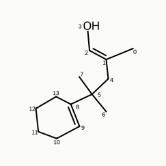 CC(=CO)CC(C)(C)C1=CCCCC1